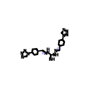 N=C(N/N=C/c1ccc(-n2cnnn2)cc1)N/N=C/c1ccc(-n2cnnn2)cc1